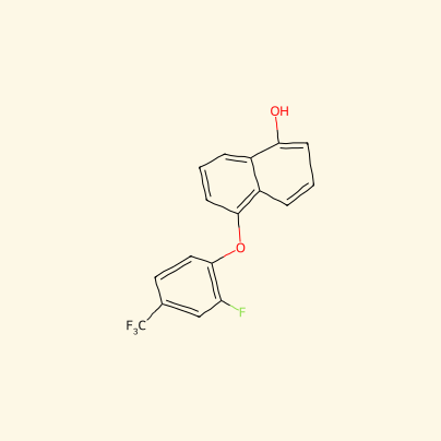 Oc1cccc2c(Oc3ccc(C(F)(F)F)cc3F)cccc12